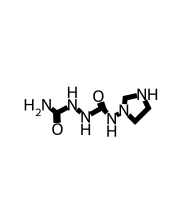 NC(=O)NNC(=O)NN1CCNC1